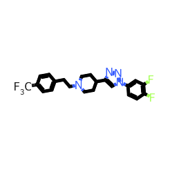 Fc1ccc(-n2cc(C3CCN(CCc4ccc(C(F)(F)F)cc4)CC3)nn2)cc1F